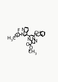 CCOC(=O)c1cnn2c(N(C)Cc3ccccc3)cc(-c3cn(C4CN(C)C[C@@H]4F)c4ncccc34)nc12